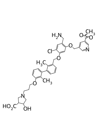 Cc1c(COc2cc(OCc3cncc(S(C)(=O)=O)c3)c(CN)cc2Cl)cccc1-c1cccc(OCCCN2CC(O)C(C(=O)O)C2)c1C